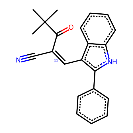 CC(C)(C)C(=O)/C(C#N)=C\c1c(-c2ccccc2)[nH]c2ccccc12